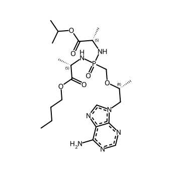 CCCCOC(=O)[C@H](C)NP(=O)(CO[C@H](C)Cn1cnc2c(N)ncnc21)N[C@@H](C)C(=O)OC(C)C